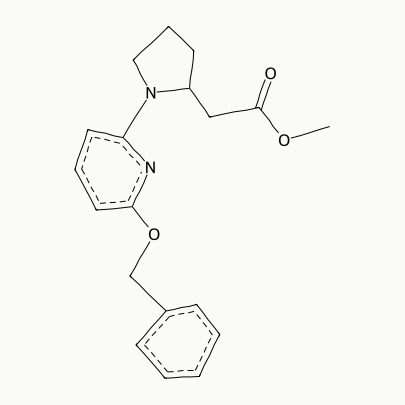 COC(=O)CC1CCCN1c1cccc(OCc2ccccc2)n1